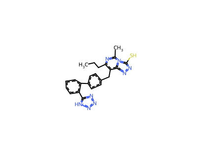 CCCc1nc(C)n2c(S)nnc2c1Cc1ccc(-c2ccccc2-c2nnn[nH]2)cc1